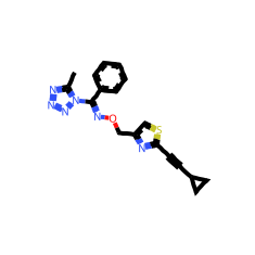 Cc1nnnn1/C(=N/OCc1csc(C#CC2CC2)n1)c1ccccc1